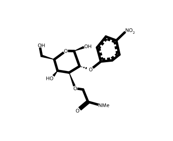 CNC(=O)CO[C@H]1[C@@H](O)[C@@H](CO)O[C@@H](O)[C@@H]1Oc1ccc([N+](=O)[O-])cc1